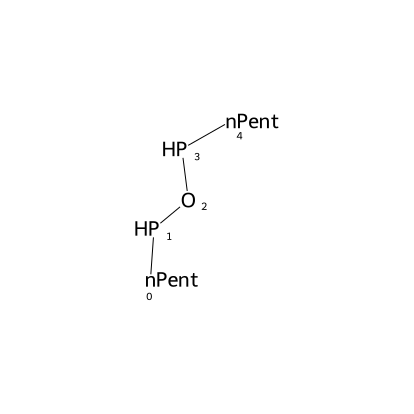 CCCCCPOPCCCCC